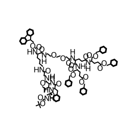 CC(C)CC(NC(=O)C(Cc1ccccc1)NC(=O)CNC(=O)OC(C)(C)C)C(=O)NCC(=O)NCCCCC(NC(=O)OCC1c2ccccc2-c2ccccc21)C(=O)NCCOCCOCC(=O)NC(CCC(=O)NC(CCC(=O)OCc1ccccc1)C(=O)OCc1ccccc1)C(=O)NC(CCC(=O)OCc1ccccc1)C(=O)OCc1ccccc1